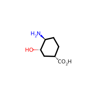 N[C@H]1CC[C@H](C(=O)O)C[C@@H]1O